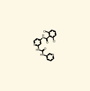 O=C(Nc1cccnc1)Nc1cc(NC(=O)c2c(Cl)cccc2Cl)ccn1